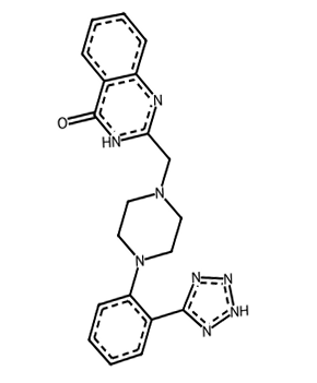 O=c1[nH]c(CN2CCN(c3ccccc3-c3nn[nH]n3)CC2)nc2ccccc12